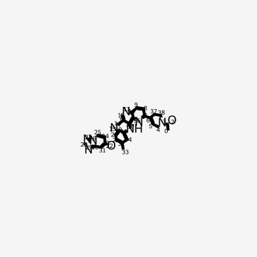 CC(=O)N1CC=C(c2ccc3ncc(C#N)c(Nc4ccc(Oc5ccn6ncnc6c5)c(C)c4)c3n2)CC1